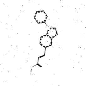 O=C(/C=C/c1ccc2c(ccn2-c2ccccc2)c1)NO